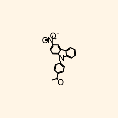 CC(=O)c1ccc(-n2c3ccccc3c3cc([N+](=O)[O-])ccc32)cc1